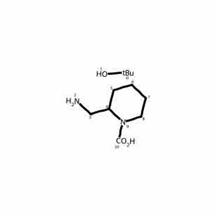 CC(C)(C)O.NCC1CCCCN1C(=O)O